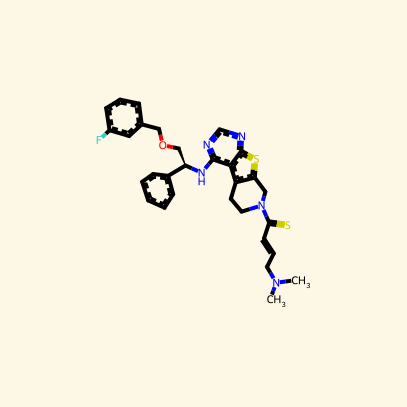 CN(C)C/C=C/C(=S)N1CCc2c(sc3ncnc(N[C@H](COCc4cccc(F)c4)c4ccccc4)c23)C1